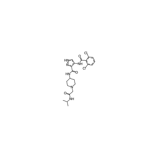 CC(C)NC(=O)CN1CCC(NC(=O)c2n[nH]cc2NC(=O)c2c(Cl)cccc2Cl)CC1